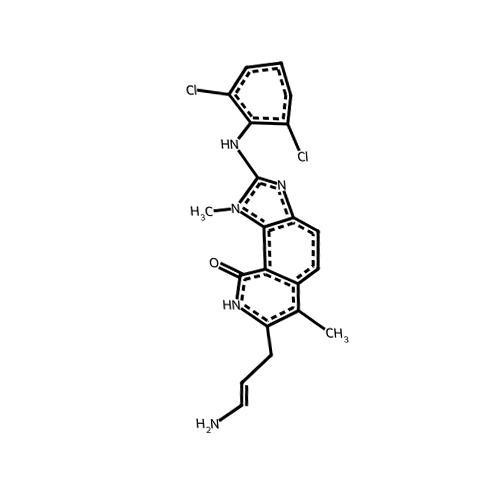 Cc1c(CC=CN)[nH]c(=O)c2c1ccc1nc(Nc3c(Cl)cccc3Cl)n(C)c12